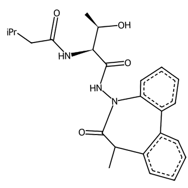 CC(C)CC(=O)N[C@H](C(=O)NN1C(=O)C(C)c2ccccc2-c2ccccc21)[C@@H](C)O